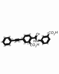 O=C(O)c1cccc(NC(=O)c2ccc(C#Cc3ccccc3)cc2C(=O)O)c1